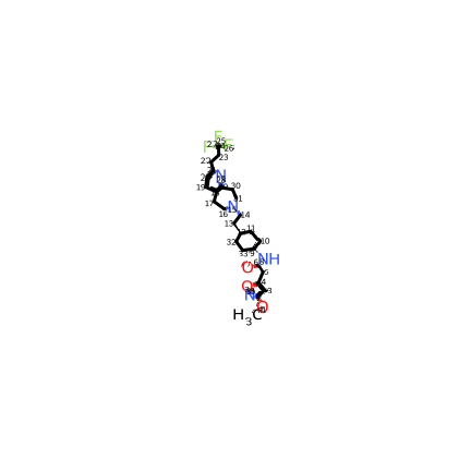 COc1cc(CC(=O)N[C@H]2CC[C@H](CCN3CCc4ccc(CCC(F)(F)F)nc4CC3)CC2)on1